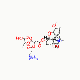 COc1ccc2c3c1O[C@H]1C(OC(=O)CC(OC(=O)CCN)C(=O)OC(C)C(=O)O)=CC[C@@]4(O)[C@@H](C2)N(C)CC[C@]314